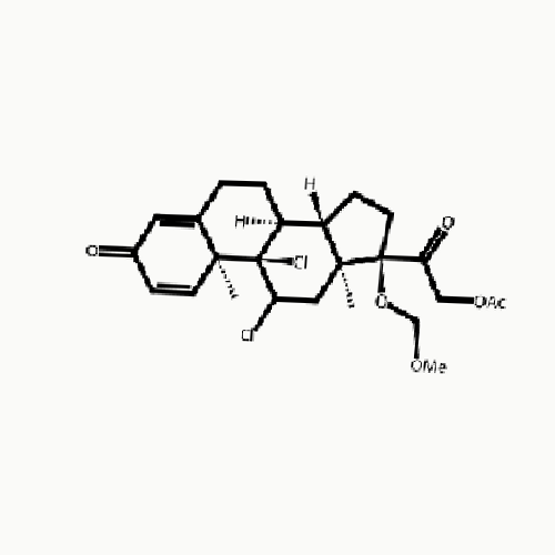 COCO[C@]1(C(=O)COC(C)=O)CC[C@H]2[C@@H]3CCC4=CC(=O)C=C[C@]4(C)[C@@]3(Cl)C(Cl)C[C@@]21C